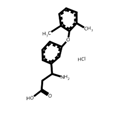 Cc1cccc(C)c1Oc1cccc(C(N)CC(=O)O)c1.Cl